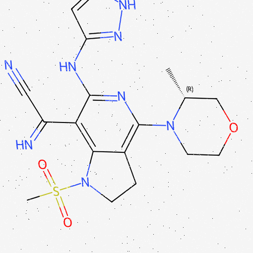 C[C@@H]1COCCN1c1nc(Nc2cc[nH]n2)c(C(=N)C#N)c2c1CCN2S(C)(=O)=O